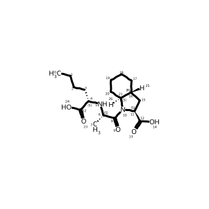 CCCC[C@H](N[C@@H](C)C(=O)N1[C@H](C(=O)O)C[C@H]2CCCC[C@@H]21)C(=O)O